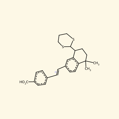 CC1(C)CCC(C2SCCCS2)c2cc(/C=C/c3ccc(C(=O)O)cc3)ccc21